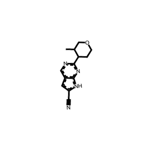 CC1COCCC1c1ncc2cc(C#N)[nH]c2n1